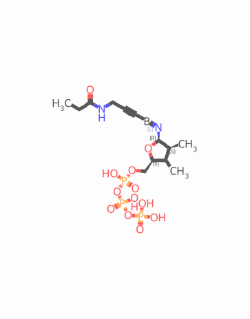 CCC(=O)NCC#C/B=N/[C@@H]1O[C@H](COP(=O)(O)OP(=O)(O)OP(=O)(O)O)C(C)[C@@H]1C